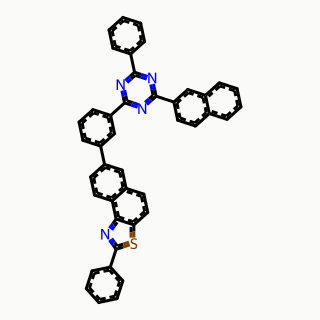 c1ccc(-c2nc(-c3cccc(-c4ccc5c(ccc6sc(-c7ccccc7)nc65)c4)c3)nc(-c3ccc4ccccc4c3)n2)cc1